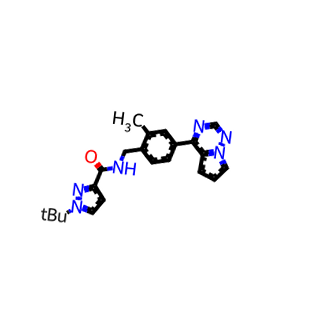 Cc1cc(-c2ncnn3cccc23)ccc1CNC(=O)c1ccn(C(C)(C)C)n1